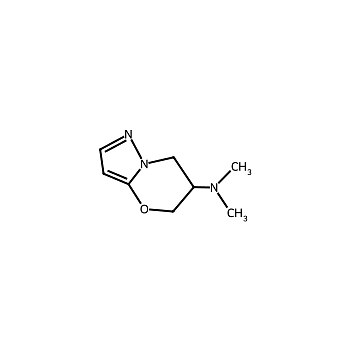 CN(C)C1COc2ccnn2C1